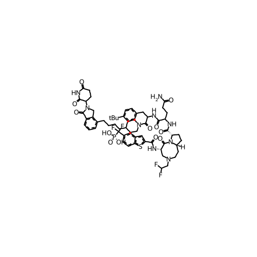 CC(C)(C)c1ccc(CC(NC(=O)C(CCC(N)=O)NC(=O)[C@@H]2CC[C@@H]3CCN(CC(F)F)C[C@H](NC(=O)c4cc5cc(C(F)(F)P(=O)(O)O)ccc5s4)C(=O)N32)C(=O)N2CCC(CCCCc3cccc4c3CN(C3CCC(=O)NC3=O)C4=O)CC2)cc1